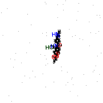 CCCC(=O)OC1CCc2cc(NC(=O)c3ccc(C=NNCC)cc3)ccc2O1.Cl